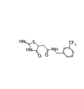 N=C1NC(=O)C(CC(=O)NCc2cccc(C(F)(F)F)c2)S1